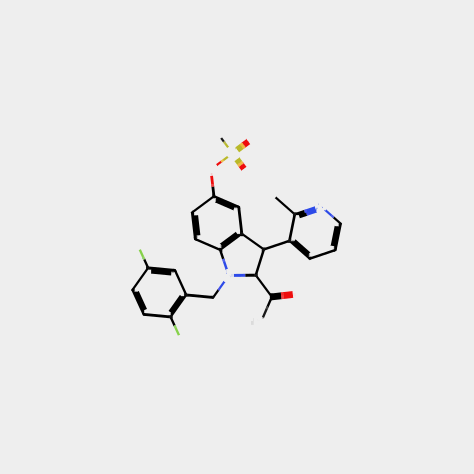 CCCC(=O)C1C(c2cccnc2C)c2cc(OS(=O)(=O)C(F)(F)F)ccc2N1Cc1cc(F)ccc1F